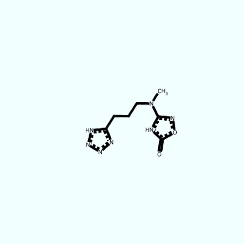 CN(CCCc1nnn[nH]1)c1noc(=O)[nH]1